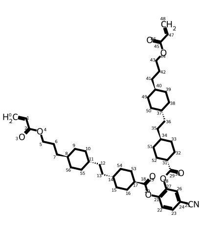 C=CC(=O)OCCC[C@H]1CC[C@H](CC[C@H]2CC[C@H](C(=O)Oc3ccc(C#N)cc3OC(=O)[C@H]3CC[C@H](CC[C@H]4CC[C@H](CCCOC(=O)C=C)CC4)CC3)CC2)CC1